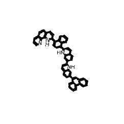 C1=CC2=CC=C(c3ccc4c(c3)NC(c3ccc(C5C=Cc6ccc7cccnc7c6N5)c5ccccc35)C=C4)NC2C=C1c1cc2ccccc2c2ccccc12